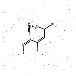 BC(C)/C=C(F)\C(C#N)=N/I